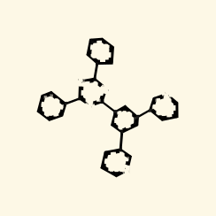 c1ccc(-c2nc(-c3ccccc3)nc(-c3cc(-c4cccnc4)cc(-c4cccnc4)c3)n2)cc1